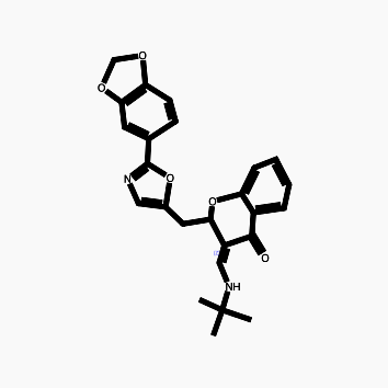 CC(C)(C)N/C=C1\C(=O)c2ccccc2OC1Cc1cnc(-c2ccc3c(c2)OCO3)o1